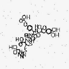 CO[C@@]1(NC(=O)C(NC(=O)c2cc3cc(O)c(O)cc3oc2=O)c2ccc(OCC(=O)O)cc2)C(=O)N2C(C(=O)O)=C(CSc3nnnn3CC(=O)O)CS[C@@H]21